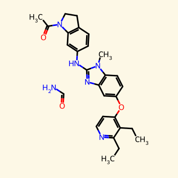 CCc1nccc(Oc2ccc3c(c2)nc(Nc2ccc4c(c2)N(C(C)=O)CC4)n3C)c1CC.NC=O